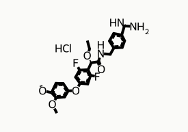 CCO[C@H](C(=O)NCc1ccc(C(=N)N)cc1)c1c(F)cc(Oc2ccc(OC)c(OC)c2)cc1F.Cl